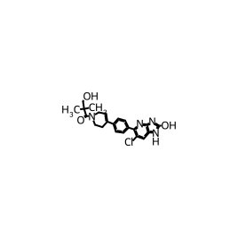 CC(C)(CO)C(=O)N1CC=C(c2ccc(-c3nc4nc(O)[nH]c4cc3Cl)cc2)CC1